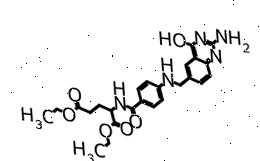 CCOC(=O)CCC(NC(=O)c1ccc(NCc2ccc3nc(N)nc(O)c3c2)cc1)C(=O)OCC